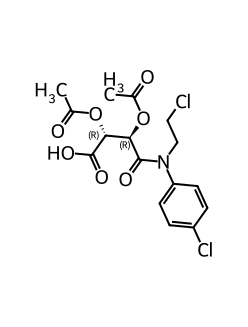 CC(=O)O[C@@H](C(=O)O)[C@@H](OC(C)=O)C(=O)N(CCCl)c1ccc(Cl)cc1